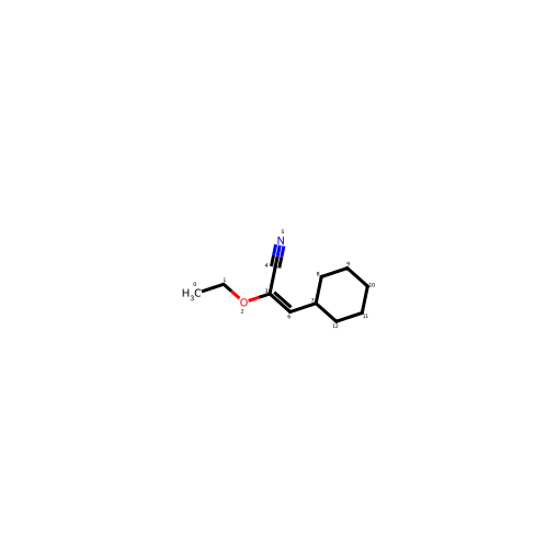 CCO/C(C#N)=C/C1CCCCC1